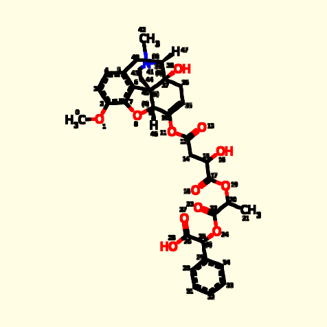 COc1ccc2c3c1O[C@H]1C(OC(=O)CC(O)C(=O)OC(C)C(=O)O[C@H](C(=O)O)c4ccccc4)=CC[C@@]4(O)[C@@H](C2)N(C)CC[C@]314